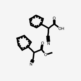 COC(=O)C(C#N)c1ccccc1.N#CC(C(=O)O)c1ccccc1